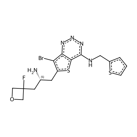 N[C@H](Cc1sc2c(NCc3cccs3)nnnc2c1Br)CC1(F)COC1